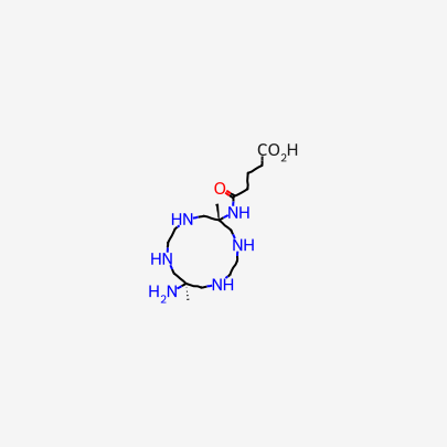 C[C@]1(N)CNCCNC[C@](C)(NC(=O)CCCC(=O)O)CNCCNC1